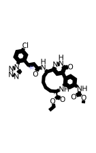 CCOC(=O)[C@H]1CCCCC(NC(=O)/C=C/c2cc(Cl)ccc2-n2cnnn2)c2cc(c(=O)[nH]n2)-c2ccc(NC(=O)OC)cc2N1